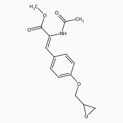 COC(=O)C(=Cc1ccc(OCC2CO2)cc1)NC(C)=O